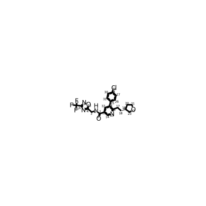 O=C(NCc1nc(C(F)(F)F)no1)c1cnc(CC[C@@H]2CCOC2)c(-c2ccc(Cl)cc2)c1